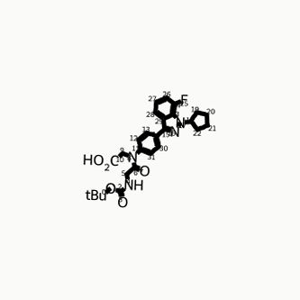 CC(C)(C)OC(=O)NCC(=O)N(CC(=O)O)c1ccc(-c2nn(C3CCCC3)c3c(F)cccc23)cc1